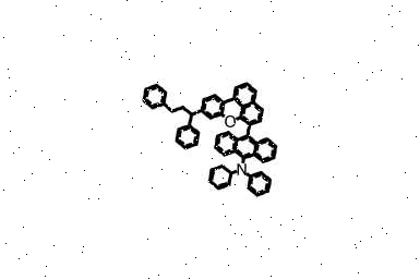 C1=CCC(N(c2ccccc2)c2c3ccccc3c(-c3ccc4cccc5c4c3Oc3cc(C(CCc4ccccc4)c4ccccc4)ccc3-5)c3ccccc23)C=C1